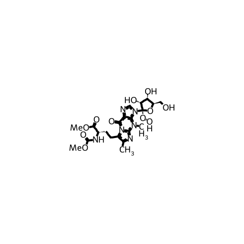 COC(=O)N[C@@H](CCc1c(C)nc2n(C)c3c(ncn3[C@]3(OO)O[C@H](CO)[C@@H](O)[C@H]3O)c(=O)n12)C(=O)OC